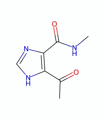 CNC(=O)c1nc[nH]c1C(C)=O